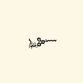 CCCCCCCCOc1ccc(-c2ccc(OC(=O)CC(OCCCC)C(F)(F)F)cc2)c(-c2ccccn2)c1